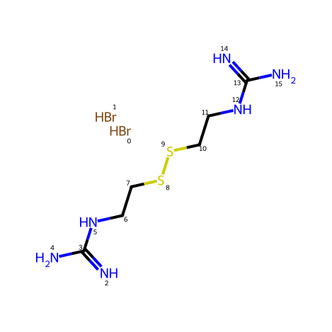 Br.Br.N=C(N)NCCSSCCNC(=N)N